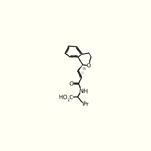 CC(C)C(NC(=O)/C=C/[C@@H]1OCCc2ccccc21)C(=O)O